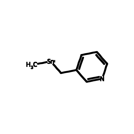 [CH3][Sn][CH2]c1cccnc1